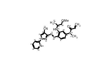 C=CC(=O)N(C)c1ccc(N=Nc2nn(-c3ccccn3)cc2C#N)c(NC(C)COC)c1